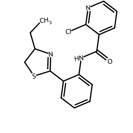 CCC1CSC(c2ccccc2NC(=O)c2cccnc2Cl)=N1